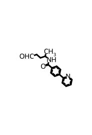 CC(CCC=O)NC(=O)c1ccc(-c2ccccn2)cc1